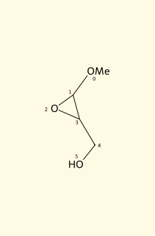 COC1OC1CO